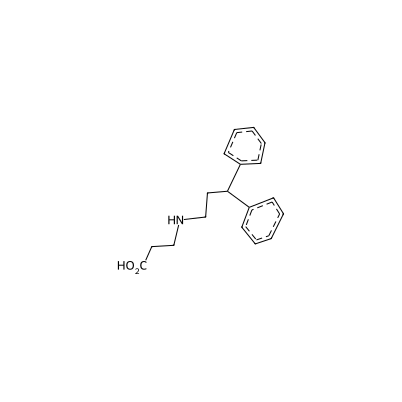 O=C(O)CCNCCC(c1ccccc1)c1ccccc1